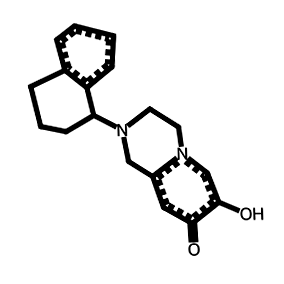 O=c1cc2n(cc1O)CCN(C1CCCc3ccccc31)C2